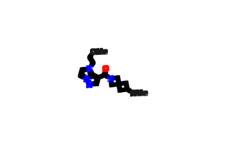 CNC1CC2(C1)CN(C(=O)c1cnn3ccn(CCOC)c13)C2